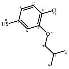 CC(C)COc1cc(S)ccc1Cl